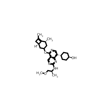 COC[C@H](C)Nc1ncc2c(OC3C[C@H]4CC(C)=C4[C@H](C)C3)ncc([C@H]3CC[C@H](O)CC3)c2n1